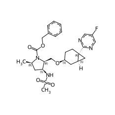 C[C@@H]1C[C@H](NS(C)(=O)=O)[C@H](CO[C@H]2CC[C@@]3(c4ncc(F)cn4)C[C@H]3C2)N1C(=O)OCc1ccccc1